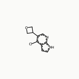 Clc1c(C2COC2)cnc2[nH]ccc12